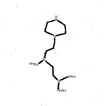 CCCCCCN(CCCCCC)CCN(CCCCCC)CCN1CCNCC1